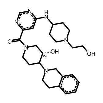 O=C(c1cc(NC2CCN(CCO)CC2)ncn1)N1CCC(N2CCc3ccccc3C2)[C@@H](O)C1